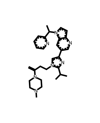 C=C(CCn1cc(-c2cnc3ccn(C(C)c4ccccn4)c3c2)nc1C(C)C)N1CCN(C)CC1